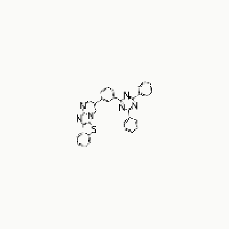 c1ccc(-c2nc(-c3ccccc3)nc(-c3cccc(-c4cnc5nc6c7ccccc7sc6n5c4)c3)n2)cc1